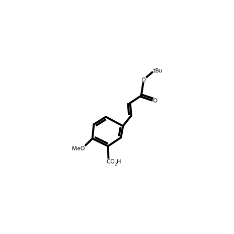 COc1ccc(/C=C/C(=O)OC(C)(C)C)cc1C(=O)O